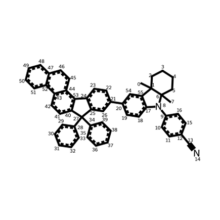 CC12CCCCC1(C)N(c1ccc(C#N)cc1)c1ccc(-c3ccc4c(c3)C(c3ccccc3)(c3ccccc3)c3ccc5c(ccc6ccccc65)c3-4)cc12